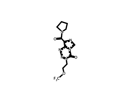 O=C(c1ncn2c(=O)n(CCOC(F)(F)F)nnc12)N1CCCC1